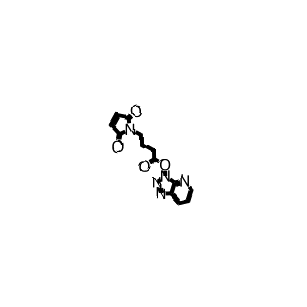 O=C(CCCN1C(=O)C=CC1=O)On1nnc2cccnc21